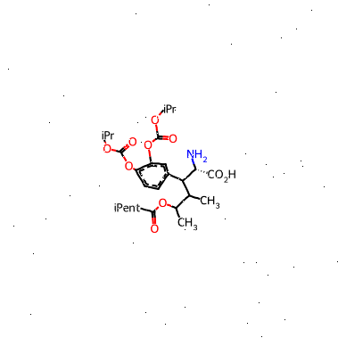 CCCC(C)C(=O)OC(C)C(C)C(c1ccc(OC(=O)OC(C)C)c(OC(=O)OC(C)C)c1)[C@H](N)C(=O)O